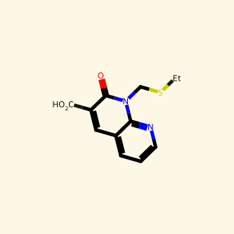 CCSCn1c(=O)c(C(=O)O)cc2cccnc21